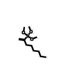 C=C(CCCCCC)[Si](OC)(OC)OC